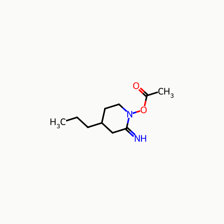 CCCC1CCN(OC(C)=O)C(=N)C1